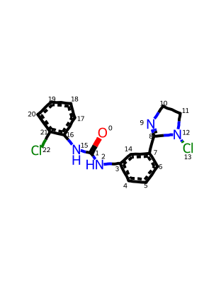 O=C(Nc1cccc(C2=NCCN2Cl)c1)Nc1ccccc1Cl